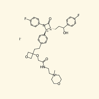 C[N+]1(CCNC(=O)COC2(CCc3ccc([C@@H]4[C@@H](CCC(O)c5ccc(F)cc5)C(=O)N4c4ccc(F)cc4)cc3)COC2)CCOCC1.[I-]